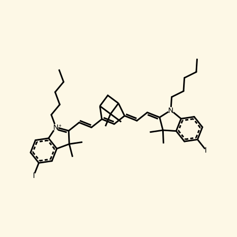 CCCCCN1/C(=C/C=C2C=C(/C=C/C3=[N+](CCCCC)c4ccc(I)cc4C3(C)C)C3CC/2C3(C)C)C(C)(C)c2cc(I)ccc21